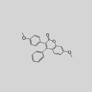 COc1ccc(-c2c(-c3ccccc3)c3ccc(OC)cc3oc2=O)cc1